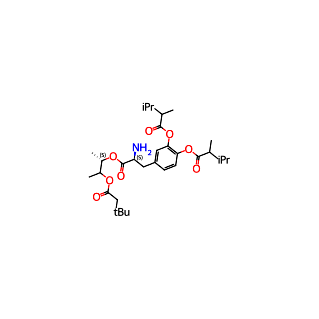 CC(C)C(C)C(=O)Oc1ccc(C[C@H](N)C(=O)O[C@@H](C)C(C)OC(=O)CC(C)(C)C)cc1OC(=O)C(C)C(C)C